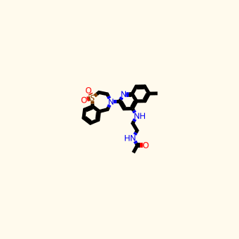 CC(=O)NCCNc1cc(N2CCS(=O)(=O)c3ccccc3C2)nc2ccc(C)cc12